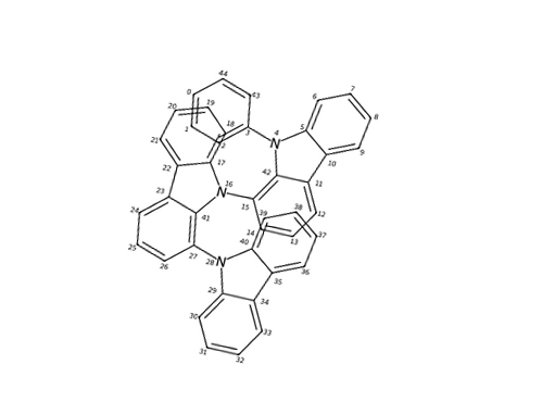 c1ccc(-n2c3ccccc3c3cccc(-n4c5ccccc5c5cccc(-n6c7ccccc7c7ccccc76)c54)c32)cc1